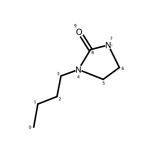 CCCCN1CC[N]C1=O